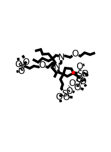 CCCCOCCN(CN(CCOCCC[Si](OC)(OC)OC)CC(CCC[Si](OC)(OC)OC)(CCC[Si](OC)(OC)OC)CCC[Si](OC)(OC)OC)CC(CCCC)(CCCC)CCCC